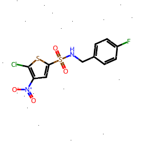 O=[N+]([O-])c1cc(S(=O)(=O)NCc2ccc(F)cc2)sc1Cl